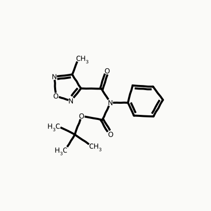 Cc1nonc1C(=O)N(C(=O)OC(C)(C)C)c1ccccc1